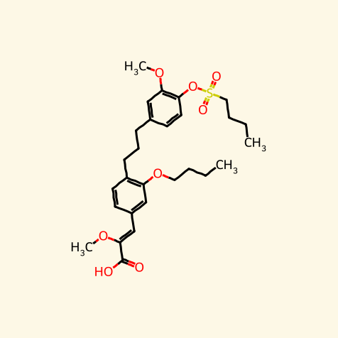 CCCCOc1cc(C=C(OC)C(=O)O)ccc1CCCc1ccc(OS(=O)(=O)CCCC)c(OC)c1